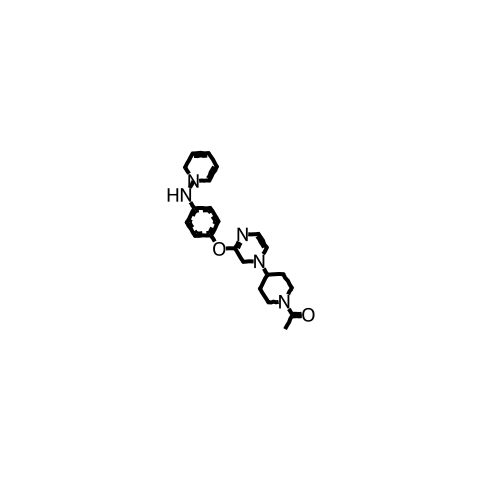 CC(=O)N1CCC(N2C=CN=C(Oc3ccc(NN4C=CC=CC4)cc3)C2)CC1